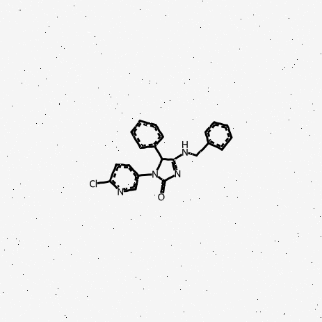 O=C1N=C(NCc2ccccc2)C(c2ccccc2)N1c1ccc(Cl)nc1